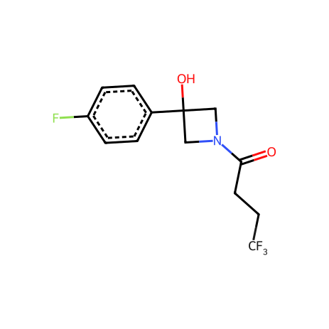 O=C(CCC(F)(F)F)N1CC(O)(c2ccc(F)cc2)C1